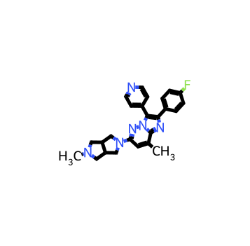 Cc1cc(N2CC3CN(C)CC3C2)nn2c(-c3ccncc3)c(-c3ccc(F)cc3)nc12